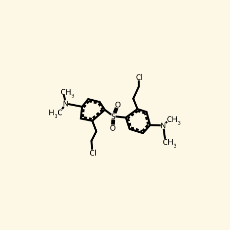 CN(C)c1ccc(S(=O)(=O)c2ccc(N(C)C)cc2CCCl)c(CCCl)c1